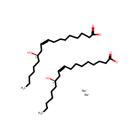 CCCCCC[C@@H](O)C/C=C\CCCCCCCC(=O)[O-].CCCCCC[C@@H](O)C/C=C\CCCCCCCC(=O)[O-].[Na+].[Na+]